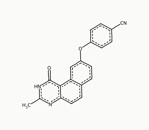 Cc1nc2ccc3ccc(Oc4ccc(C#N)cc4)cc3c2c(=O)[nH]1